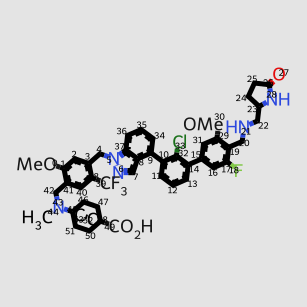 COc1cc(Cn2ncc3c(-c4cccc(-c5cc(F)c(CNCC6CCC(=O)N6)c(OC)c5)c4Cl)cccc32)c(C(F)(F)F)cc1CN(C)C12CCC(C(=O)O)(CC1)CC2